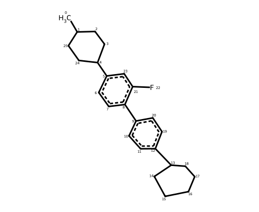 CC1CCC(c2ccc(-c3ccc(C4CCCCC4)cc3)c(F)c2)CC1